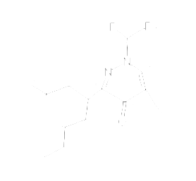 CCCCC(CCC)c1nn(C(F)F)cc(C)c1=O